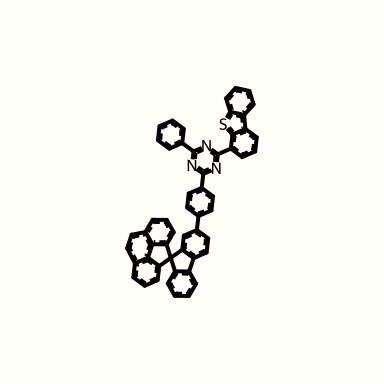 c1ccc(-c2nc(-c3ccc(-c4ccc5c(c4)C4(c6ccccc6-5)c5cccc6ccc7cccc4c7c56)cc3)nc(-c3cccc4c3sc3ccccc34)n2)cc1